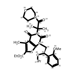 CCOC(=O)c1sc2c(c1C)c(=O)n(C(C)(C)C(=O)N1CCOCC1)c(=O)n2C[C@H](OC(C)C)c1ccccc1OC